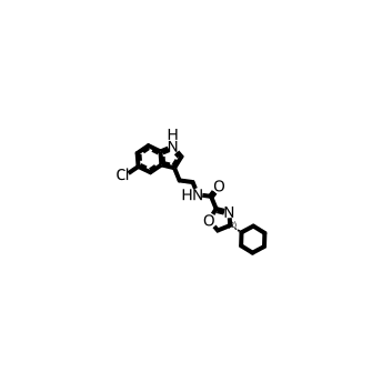 O=C(NCCc1c[nH]c2ccc(Cl)cc12)C1=N[C@H](C2CCCCC2)CO1